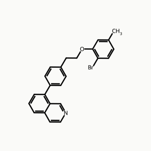 Cc1ccc(Br)c(OCCc2ccc(-c3cccc4ccncc34)cc2)c1